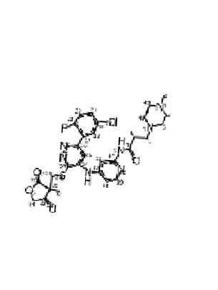 CN1CCN(CCC(=O)Nc2cc(Nc3cc(-c4cc(Cl)ccc4F)nnc3SCC3(C)C(=O)COC3=O)ccn2)CC1